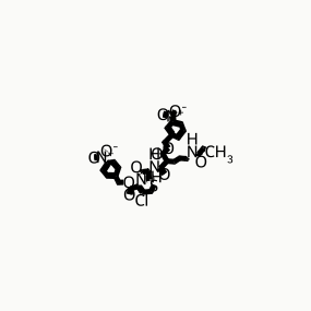 CCC(=O)NCCCC(C(=O)NC1C(=O)N2C(C(=O)OCc3ccc([N+](=O)[O-])cc3)=C(Cl)CS[C@@H]12)C(=O)OCc1cccc([N+](=O)[O-])c1